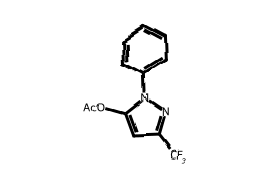 CC(=O)Oc1cc(C(F)(F)F)nn1-c1ccccc1